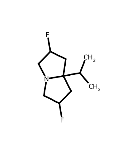 CC(C)C12CC(F)CN1CC(F)C2